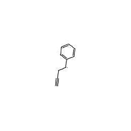 C#CC[CH]c1ccccc1